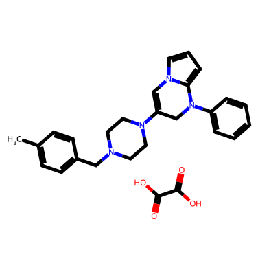 Cc1ccc(CN2CCN(C3=Cn4cccc4N(c4ccccc4)C3)CC2)cc1.O=C(O)C(=O)O